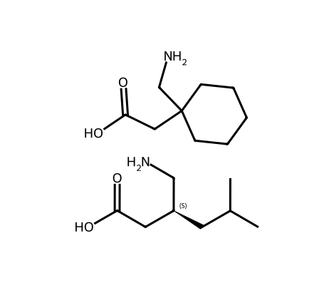 CC(C)C[C@H](CN)CC(=O)O.NCC1(CC(=O)O)CCCCC1